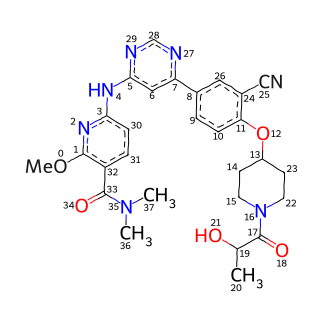 COc1nc(Nc2cc(-c3ccc(OC4CCN(C(=O)C(C)O)CC4)c(C#N)c3)ncn2)ccc1C(=O)N(C)C